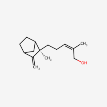 C=C1C2CCC(C2)[C@@]1(C)CC/C=C(/C)CO